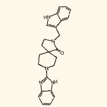 O=C1N(Cc2c[nH]c3ccccc23)CCC12CCN(c1nc3ccccc3[nH]1)CC2